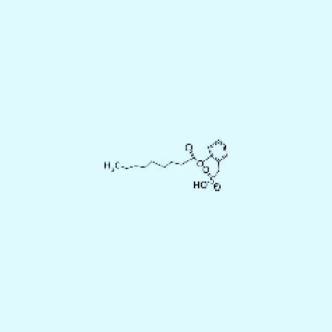 CCCCCCCCC(=O)Oc1ccccc1CS(=O)(=O)O